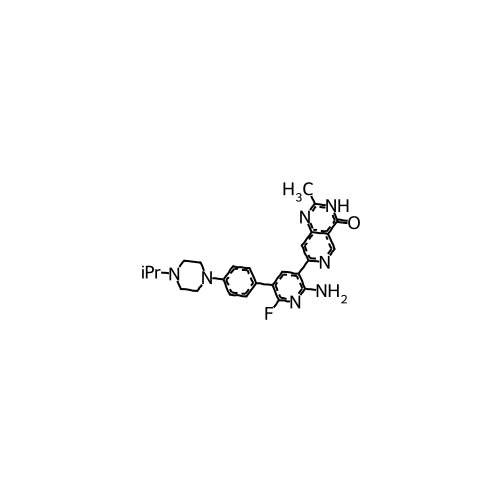 Cc1nc2cc(-c3cc(-c4ccc(N5CCN(C(C)C)CC5)cc4)c(F)nc3N)ncc2c(=O)[nH]1